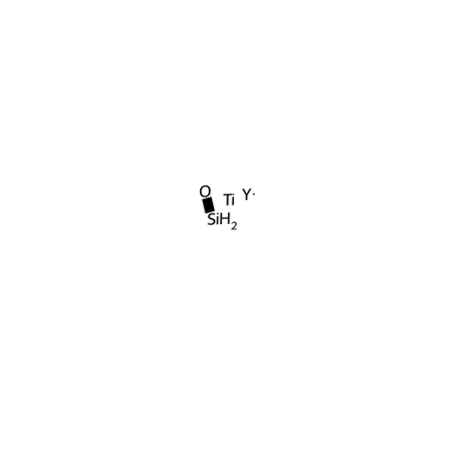 O=[SiH2].[Ti].[Y]